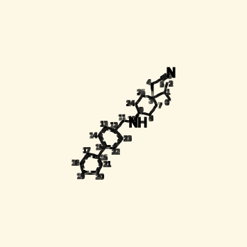 CC(C)[C@]1(CC#N)CC[C@@H](NCc2ccc(-c3ccccc3)cc2)CC1